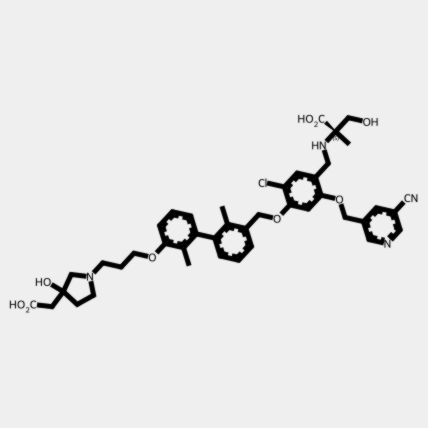 Cc1c(COc2cc(OCc3cncc(C#N)c3)c(CN[C@@](C)(CO)C(=O)O)cc2Cl)cccc1-c1cccc(OCCCN2CCC(O)(CC(=O)O)C2)c1C